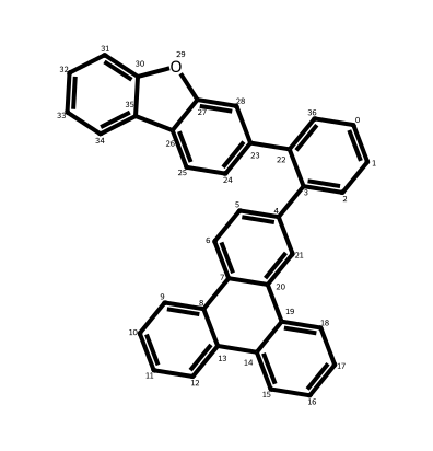 c1ccc(-c2ccc3c4ccccc4c4ccccc4c3c2)c(-c2ccc3c(c2)oc2ccccc23)c1